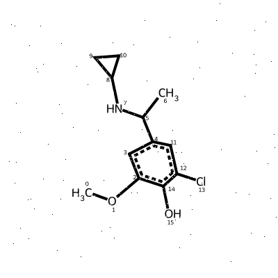 COc1cc(C(C)NC2CC2)cc(Cl)c1O